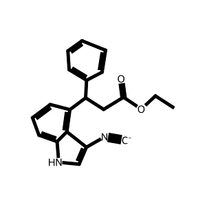 [C-]#[N+]c1c[nH]c2cccc(C(CC(=O)OCC)c3ccccc3)c12